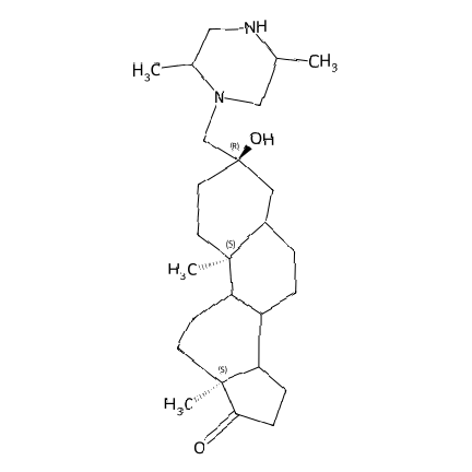 CC1CN(C[C@@]2(O)CC[C@@]3(C)C(CCC4C3CC[C@]3(C)C(=O)CCC43)C2)C(C)CN1